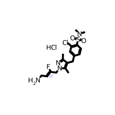 Cc1nn(C/C(F)=C/CN)c(C)c1Cc1ccc(S(=O)(=O)N(C)C)c(Cl)c1.Cl